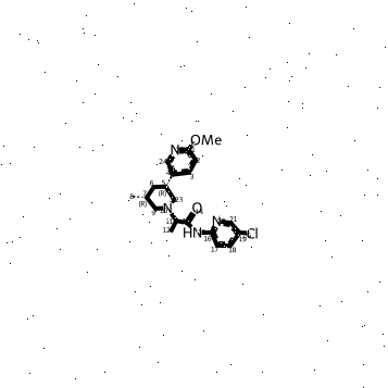 COc1ccc([C@H]2C[C@@H](C)CN(C(C)C(=O)Nc3ccc(Cl)cn3)C2)cn1